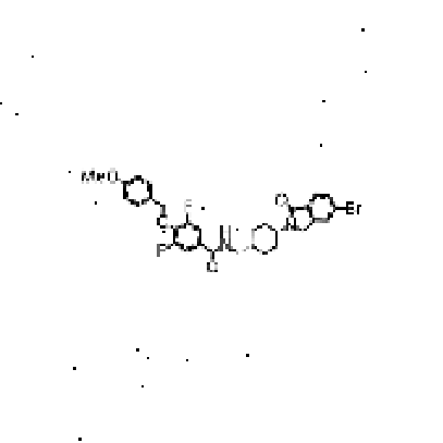 COc1ccc(COc2c(F)cc(C(=O)NC[C@H]3CC[C@H](N4Cc5cc(Br)ccc5C4=O)CC3)cc2F)cc1